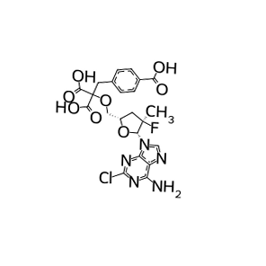 C[C@@]1(F)C[C@@H](COC(Cc2ccc(C(=O)O)cc2)(C(=O)O)C(=O)O)O[C@H]1n1cnc2c(N)nc(Cl)nc21